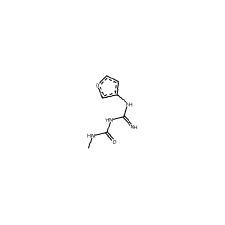 CNC(=O)NC(=N)Nc1ccoc1